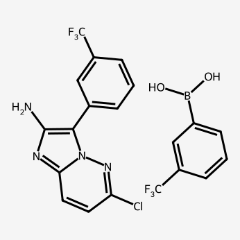 Nc1nc2ccc(Cl)nn2c1-c1cccc(C(F)(F)F)c1.OB(O)c1cccc(C(F)(F)F)c1